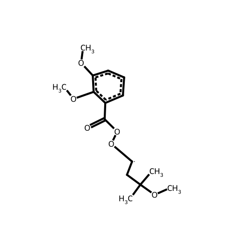 COc1cccc(C(=O)OO[CH]CC(C)(C)OC)c1OC